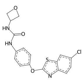 O=C(Nc1ccc(Oc2nc3ccc(Cl)cc3s2)cc1)NC1COC1